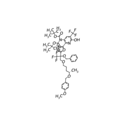 COc1ccc(CO[C@@H](C)CCCOCC(OCc2ccccc2)(c2nnc(-c3nc(O)c(C(F)(F)F)cc3N(C(=O)OC(C)(C)C)C(=O)OC(C)(C)C)o2)C(F)(F)F)cc1